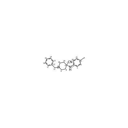 Cc1ccc(NC2(C#N)CCN(Cc3ccccc3)CC2)cc1